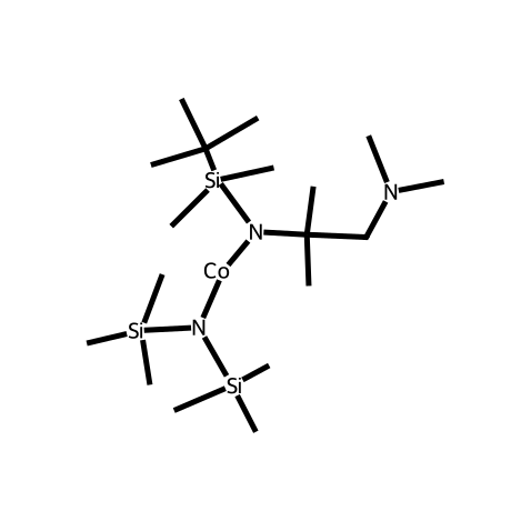 CN(C)CC(C)(C)[N]([Co][N]([Si](C)(C)C)[Si](C)(C)C)[Si](C)(C)C(C)(C)C